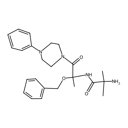 CC(C)(N)C(=O)NC(C)(OCc1ccccc1)C(=O)N1CCN(c2ccccc2)CC1